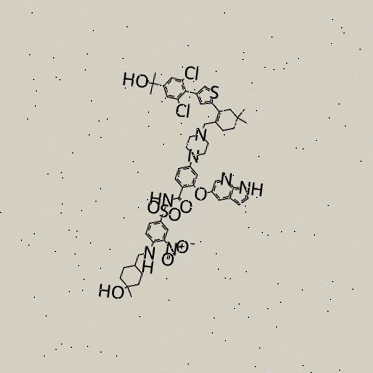 CC1(C)CCC(CN2CCN(c3ccc(C(=O)NS(=O)(=O)c4ccc(NCC5CCC(C)(O)CC5)c([N+](=O)[O-])c4)c(Oc4cnc5[nH]ccc5c4)c3)CC2)=C(c2cc(-c3c(Cl)cc(C(C)(C)O)cc3Cl)cs2)C1